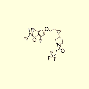 O=C(NC1CC1)c1c(F)cc(OCC[C@@H]2C[C@@H]2C2CCN(C(=O)CCC(F)(F)F)CC2)cc1F